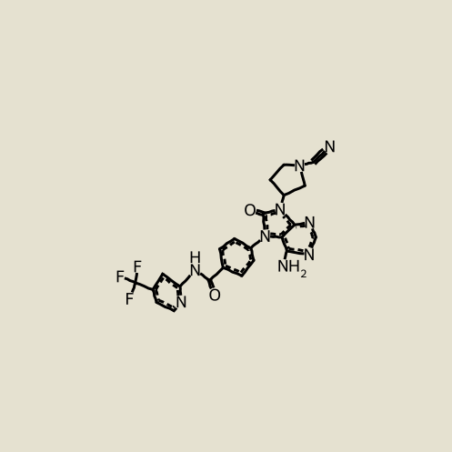 N#CN1CCC(n2c(=O)n(-c3ccc(C(=O)Nc4cc(C(F)(F)F)ccn4)cc3)c3c(N)ncnc32)C1